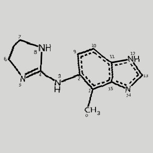 Cc1c(NC2=NCCN2)ccc2[nH]cnc12